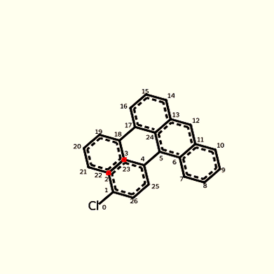 Clc1ccc(-c2c3ccccc3cc3cccc(-c4ccccc4)c23)cc1